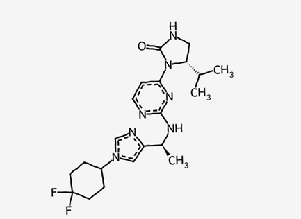 CC(C)[C@H]1CNC(=O)N1c1ccnc(N[C@@H](C)c2cn(C3CCC(F)(F)CC3)cn2)n1